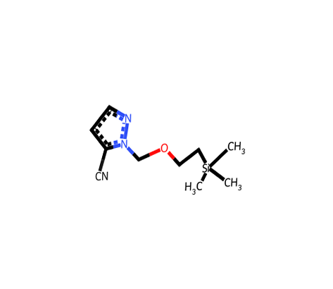 C[Si](C)(C)CCOCn1nccc1C#N